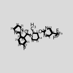 C[C@H]1[C@H](Oc2ncc(C(F)(F)F)cn2)CCCN1C(=O)c1cc(F)ccc1-c1ncccn1